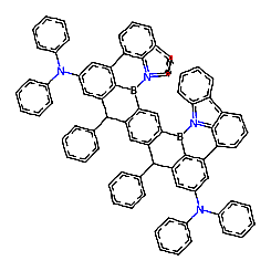 c1ccc(C2c3cc4c(cc3B3c5c(cc(N(c6ccccc6)c6ccccc6)cc52)-c2cccc5c6ccccc6n3c25)B2c3c(cc(N(c5ccccc5)c5ccccc5)cc3C4c3ccccc3)-c3cccc4c5ccccc5n2c34)cc1